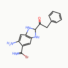 N=C(Br)c1cc2c(cc1N)NC(C(=O)Cc1ccccc1)N2